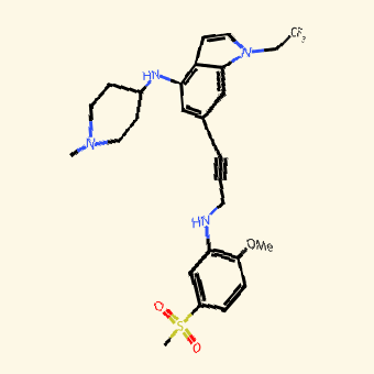 COc1ccc(S(C)(=O)=O)cc1NCC#Cc1cc(NC2CCN(C)CC2)c2ccn(CC(F)(F)F)c2c1